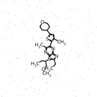 CCc1nc2nc(-c3sc(C4CCOCC4)cc3C)c(C)nc2n1C(CC)COC